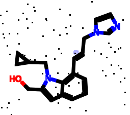 OCc1cc2cccc(/C=C/Cn3ccnc3)c2n1CC1CC1